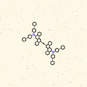 C(#Cc1cc2c3ccccc3c(N(c3ccc(-c4ccccc4)cc3)c3ccc(-c4ccccc4)cc3)cc2c2ccccc12)c1cc2c3ccccc3c(N(c3ccc(-c4ccccc4)cc3)c3ccc(-c4ccccc4)cc3)cc2c2ccccc12